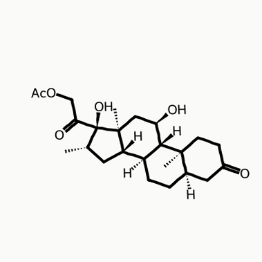 CC(=O)OCC(=O)[C@@]1(O)[C@@H](C)C[C@H]2[C@@H]3CC[C@@H]4CC(=O)CC[C@]4(C)[C@H]3[C@H](O)C[C@@]21C